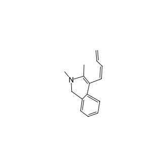 C=C/C=C\C1=C(C)N(C)Cc2ccccc21